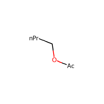 [CH2]C(=O)OCCCC